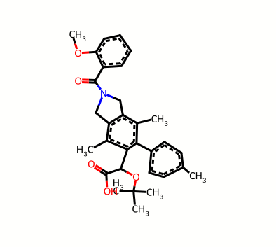 COc1ccccc1C(=O)N1Cc2c(C)c(-c3ccc(C)cc3)c(C(OC(C)(C)C)C(=O)O)c(C)c2C1